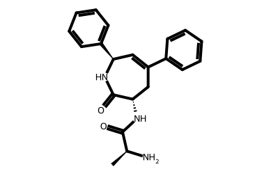 C[C@H](N)C(=O)N[C@H]1CC(c2ccccc2)=C[C@H](c2ccccc2)NC1=O